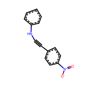 O=[N+]([O-])c1ccc(C#CNc2ccccc2)cc1